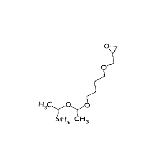 CC([SiH3])OC(C)OCCCCOCC1CO1